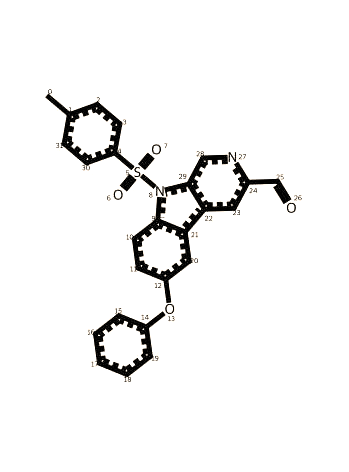 Cc1ccc(S(=O)(=O)n2c3ccc(Oc4ccccc4)cc3c3cc(C=O)ncc32)cc1